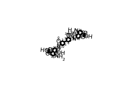 COc1cc(-c2ccc(N=Nc3ccc4c(S(=O)(=O)O)ccc(N)c4c3O)c(OC)c2)ccc1N=Nc1ccc2c(S(=O)(=O)O)ccc(N)c2c1O